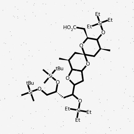 CC[Si](CC)(CC)OC(C[C@H](CO[Si](C)(C)C(C)(C)C)O[Si](C)(C)C(C)(C)C)C1CC2O[C@@]3(C[C@H](C)C2O1)C[C@H](C)C(O[Si](CC)(CC)CC)[C@H](CC(=O)O)O3